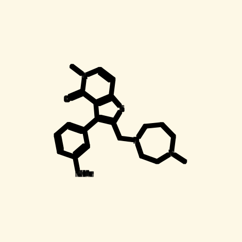 CC(=O)Nc1cccc(-c2c(CN3CCCN(C)CC3)sc3ccn(C)c(=O)c23)c1